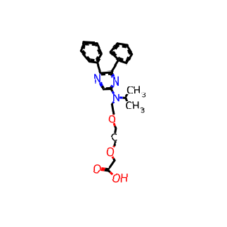 CC(C)N(CCOCCCOCC(=O)O)c1cnc(-c2ccccc2)c(-c2ccccc2)n1